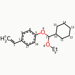 C=Cc1ccc(OC(OCC)C2CCCCC2)cc1